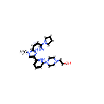 CN1C=C(C2=CC=CC(N3CCN(CCO)CC3)N2)NC1/C=C\C(=N)N1CCCC1